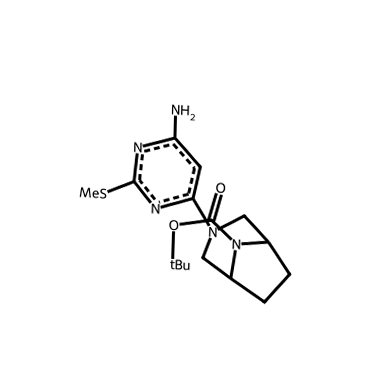 CSc1nc(N)cc(N2CC3CCC(C2)N3C(=O)OC(C)(C)C)n1